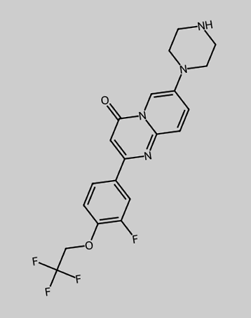 O=c1cc(-c2ccc(OCC(F)(F)F)c(F)c2)nc2ccc(N3CCNCC3)cn12